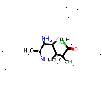 CC(N)C(N)C(C(=O)O)C(C(=O)O)C(C)C(=O)Cl